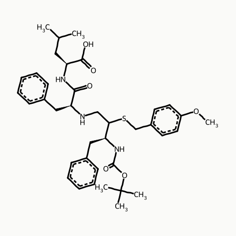 COc1ccc(CSC(CN[C@@H](Cc2ccccc2)C(=O)N[C@@H](CC(C)C)C(=O)O)[C@H](Cc2ccccc2)NC(=O)OC(C)(C)C)cc1